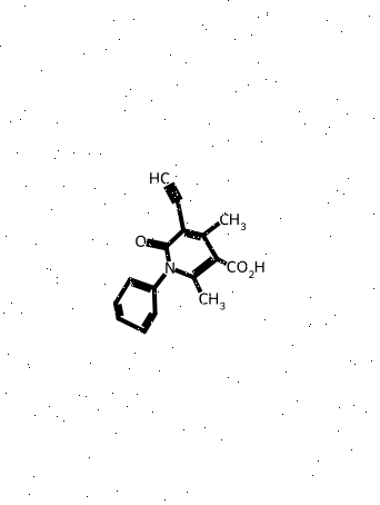 C#Cc1c(C)c(C(=O)O)c(C)n(-c2ccccc2)c1=O